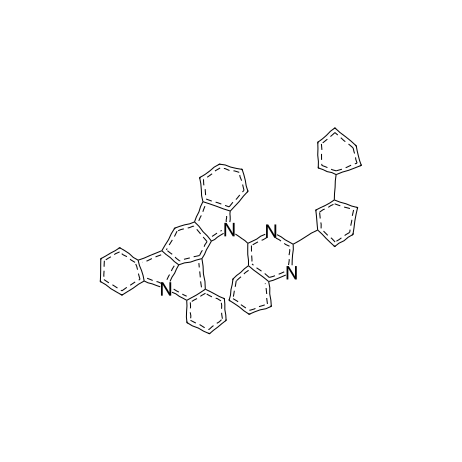 c1ccc(-c2cccc(-c3nc(-n4c5ccccc5c5cc6c7ccccc7n7c8ccccc8c(c54)c67)c4ccccc4n3)c2)cc1